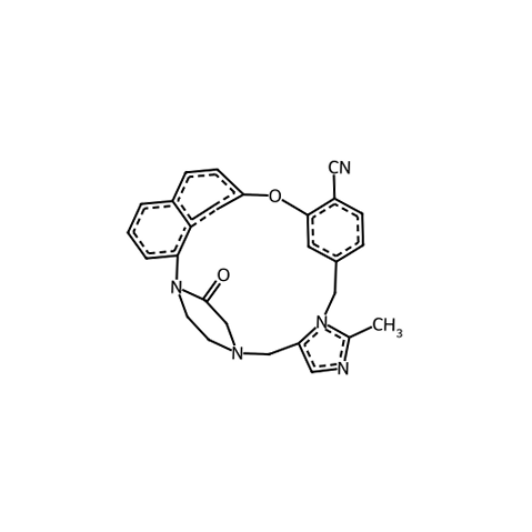 Cc1ncc2n1Cc1ccc(C#N)c(c1)Oc1ccc3cccc(c3c1)N1CCN(CC1=O)C2